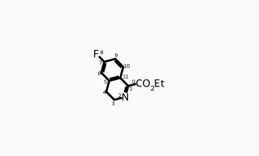 CCOC(=O)C1=NCCc2cc(F)ccc21